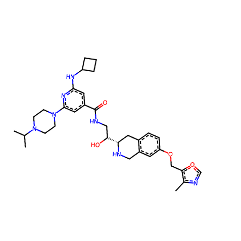 Cc1ncoc1COc1ccc2c(c1)CN[C@H](C(O)CNC(=O)c1cc(NC3CCC3)nc(N3CCN(C(C)C)CC3)c1)C2